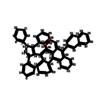 c1ccc(-c2nn(-c3ccccc3)c3c2c(-c2ccccc2-c2c4ccccc4c(-c4ccc5ccccc5c4)c4ccccc24)cc2ccccc23)cc1